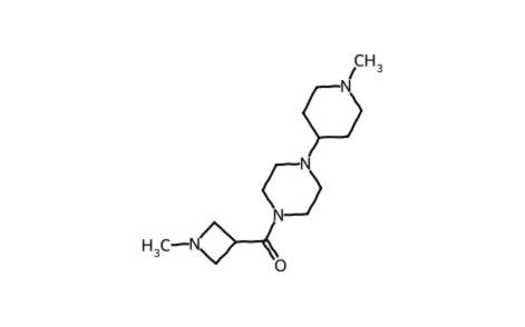 CN1CCC(N2CCN(C(=O)C3CN(C)C3)CC2)CC1